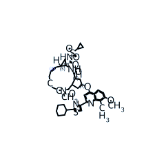 COc1ccc2c(O[C@H]3CC4C(=O)N(C)CCCC/C=C\[C@@H]5C[C@@]5(C(=O)NS(=O)(=O)C5CC5)NC(=O)[C@@H]4C3)cc(-c3csc(C4CCCCC4)n3)nc2c1C